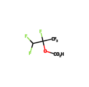 O=C(O)OC(F)(C(F)F)C(F)(F)F